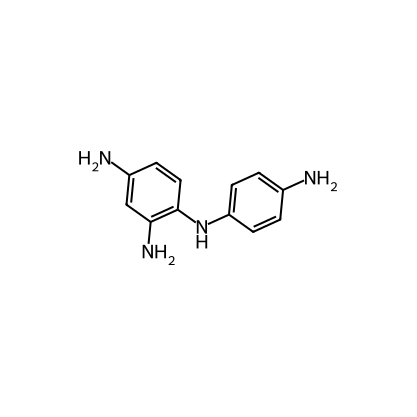 Nc1ccc(Nc2ccc(N)cc2N)cc1